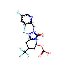 O=C(O)OC1CC(C(F)(F)F)Cc2nn(Cc3ncc(F)cc3F)c(=O)n21